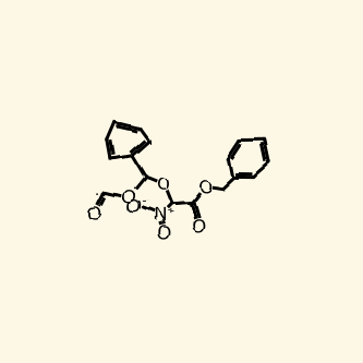 O=[C]OC(OC(C(=O)OCc1ccccc1)[N+](=O)[O-])c1ccccc1